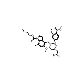 CCCCOC(=O)n1ccc2c(CN3CCN(CC(F)F)C[C@@H]3c3ccc(C(=O)OC)c(OC)c3)c(OC)cc(C)c21